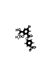 COc1c(C(=O)O)cc(Br)cc1C(=O)Oc1ccc([N+](=O)[O-])cc1